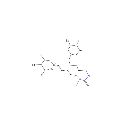 C=C(N(C)CCCC/C=C/CC(C)C(CC)C(CC)CCC)N(C)CCCCCC1CC(C)C(C)C(CC)C1